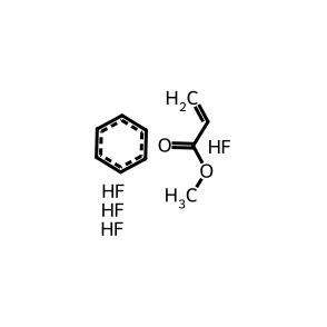 C=CC(=O)OC.F.F.F.F.c1ccccc1